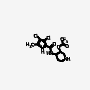 Cc1[nH]c(C(=O)NC2CCNCC2OC(=O)C(F)(F)F)c(Cl)c1Cl